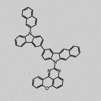 c1ccc2c(c1)Oc1cccc3nc(-n4c5ccc(-c6ccc7c(c6)c6ccccc6n7-c6ccc7ccccc7c6)cc5c5cc6ccccc6cc54)nc-2c13